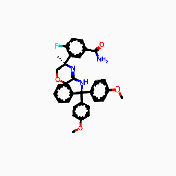 COc1ccc(C(NC2=N[C@](C)(c3cc(C(N)=O)ccc3F)COC2)(c2ccccc2)c2ccc(OC)cc2)cc1